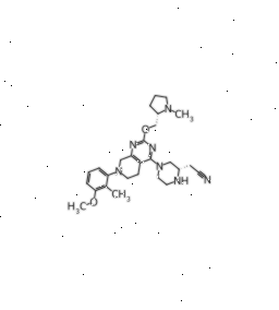 COc1cccc(N2CCc3c(nc(OC[C@@H]4CCCN4C)nc3N3CCN[C@@H](CC#N)C3)C2)c1C